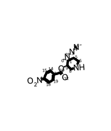 C[C@]1(N=[N+]=[N-])CCNC[C@H]1OC(=O)c1ccc([N+](=O)[O-])cc1